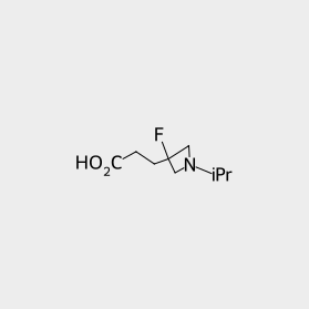 CC(C)N1CC(F)(CCC(=O)O)C1